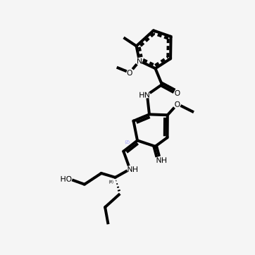 CCC[C@H](CCO)N/C=C1/C=C(NC(=O)c2cccc(C)[n+]2OC)C(OC)=CC1=N